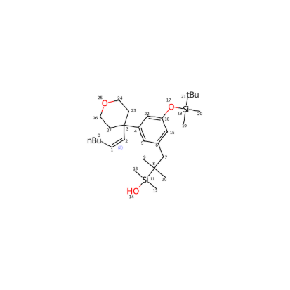 CCCC/C=C\C1(c2cc(CC(C)(C)[Si](C)(C)O)cc(O[Si](C)(C)C(C)(C)C)c2)CCOCC1